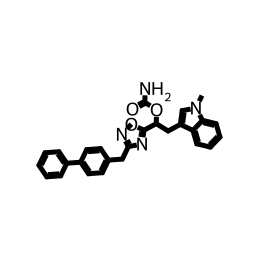 Cn1cc(CC(OC(N)=O)c2nc(Cc3ccc(-c4ccccc4)cc3)no2)c2ccccc21